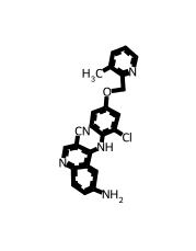 Cc1cccnc1COc1ccc(Nc2c(C#N)cnc3ccc(N)cc23)c(Cl)c1